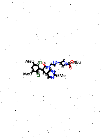 COc1cc(OC)c(Cl)c(-c2cc3cnc(SC)nc3n(CCNC3CN(C(=O)OC(C)(C)C)C3)c2=O)c1Cl